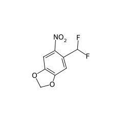 O=[N+]([O-])c1cc2c(cc1C(F)F)OCO2